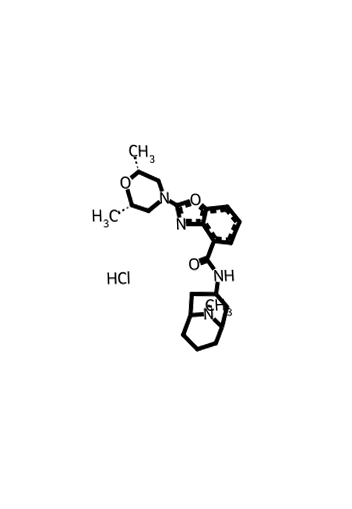 C[C@@H]1CN(c2nc3c(C(=O)NC4CC5CCCC(C4)N5C)cccc3o2)C[C@H](C)O1.Cl